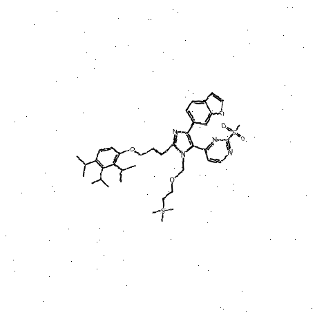 CC(C)c1ccc(OCCCc2nc(-c3ccc4ccoc4c3)c(-c3ccnc(S(C)(=O)=O)n3)n2COCC[Si](C)(C)C)c(C(C)C)c1C(C)C